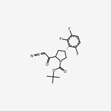 CC(C)(C)OC(=O)N1C[C@@H](c2c(F)ccc(F)c2F)CC1C(=O)C=[N+]=[N-]